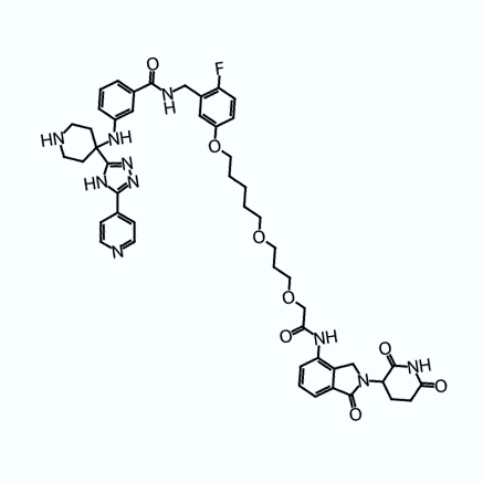 O=C1CCC(N2Cc3c(NC(=O)COCCCOCCCCCOc4ccc(F)c(CNC(=O)c5cccc(NC6(c7nnc(-c8ccncc8)[nH]7)CCNCC6)c5)c4)cccc3C2=O)C(=O)N1